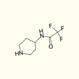 O=C(NC1CCNCC1)C(F)(F)F